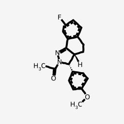 COc1ccc([C@H]2[C@H]3CCc4ccc(F)cc4C3=NN2C(C)=O)cc1